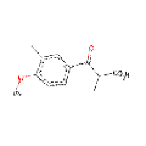 Cc1cc(C(=O)C(C)C(=O)O)ccc1OC(C)C